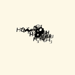 CC1(C)C2CCC1(C)C1(C2)OOC1(OCCCCO)c1cccc(O[Si](C)(C)C(C)(C)C)c1